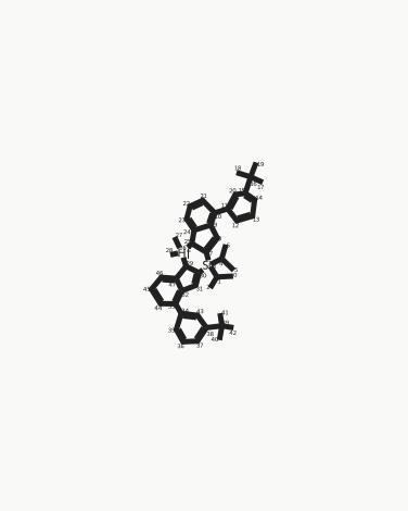 CC(C)[Si]1(C(C)C)C2=Cc3c(-c4cccc(C(C)(C)C)c4)cccc3[CH]2[Hf]([CH3])([CH3])[CH]2C1=Cc1c(-c3cccc(C(C)(C)C)c3)cccc12